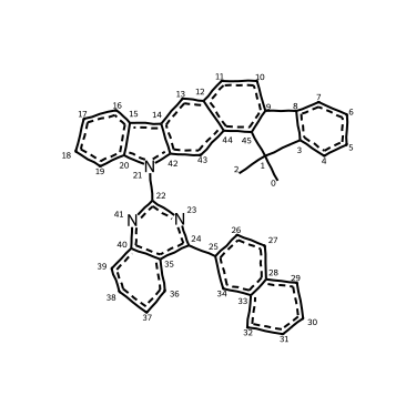 CC1(C)c2ccccc2-c2ccc3cc4c5ccccc5n(-c5nc(-c6ccc7ccccc7c6)c6ccccc6n5)c4cc3c21